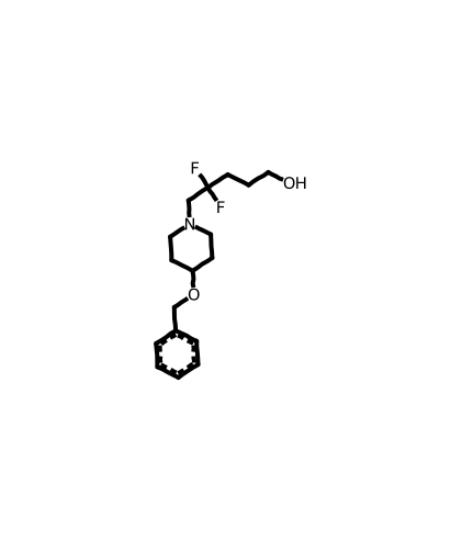 OCCCC(F)(F)CN1CCC(OCc2ccccc2)CC1